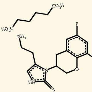 NCCc1c[nH]c(=S)n1C1COc2c(F)cc(F)cc2C1.O=C(O)CCCCC(=O)O